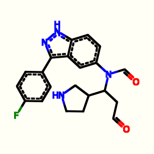 O=CCC(C1CCNC1)N(C=O)c1ccc2[nH]nc(-c3ccc(F)cc3)c2c1